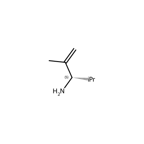 C=C(C)[C@@H](N)C(C)C